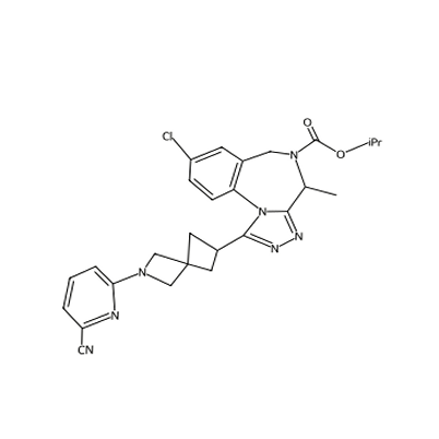 CC(C)OC(=O)N1Cc2cc(Cl)ccc2-n2c(C3CC4(C3)CN(c3cccc(C#N)n3)C4)nnc2C1C